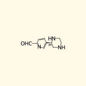 O=Cc1ccc([C@@H]2CNCCN2)cn1